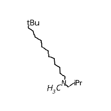 CC(C)CN(C)CCCCCCCCCCCCC(C)(C)C